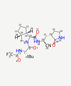 CC(C)(C)[C@H](NC(=O)C(F)(F)F)C(=O)N1C[C@@H]2CCC[C@@H]2[C@H]1C(=O)N[C@H](C#N)C[C@@H]1CCNC1=O